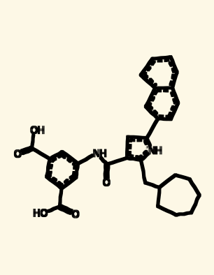 O=C(O)c1cc(NC(=O)c2cc(-c3ccc4ccccc4c3)[nH]c2CC2CCCCCC2)cc(C(=O)O)c1